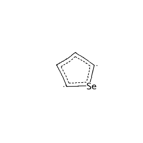 [c]1cc[c][se]1